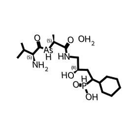 CC(C)[C@H](N)C(=O)[AsH][C@@H](C)C(=O)NC[C@H](O)CC(C1CCCCC1)[PH](=O)O.O